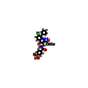 COC(=O)c1[nH]c2c(-c3ccccc3)c(Cl)ccc2c(=O)c1CN(C)C(=O)c1ccc(S(C)(=O)=O)cc1